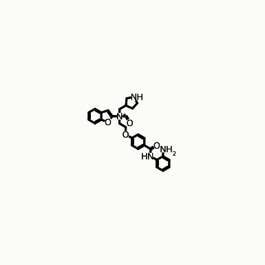 Nc1ccccc1NC(=O)c1ccc(OCC[N+](C=O)(CC2CCNC2)c2cc3ccccc3o2)cc1